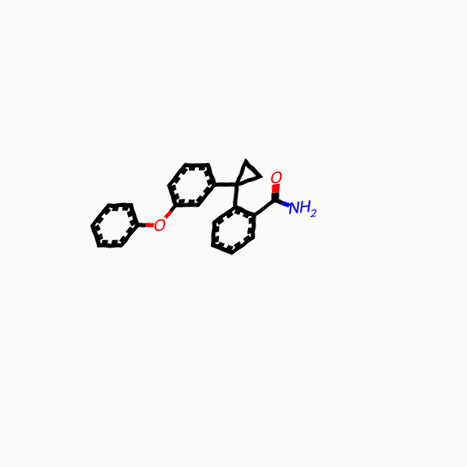 NC(=O)c1ccccc1C1(c2cccc(Oc3ccccc3)c2)CC1